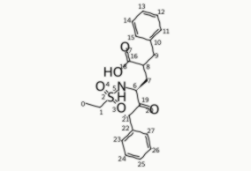 CCS(=O)(=O)N[C@@H](CC(Cc1ccccc1)C(=O)O)C(=O)[CH]c1ccccc1